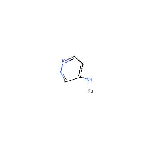 CCC(C)Nc1[c]nncc1